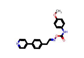 COc1ccc(NC(=O)ON=CCc2ccc(-c3ccncc3)cc2)cc1